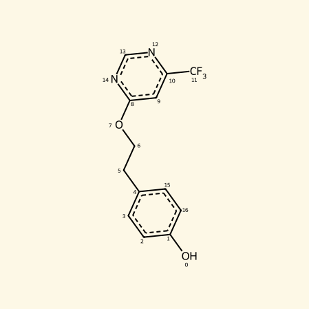 Oc1ccc(CCOc2cc(C(F)(F)F)ncn2)cc1